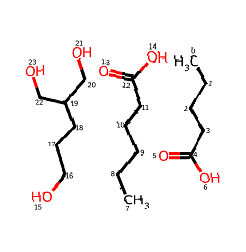 CCCCC(=O)O.CCCCCC(=O)O.OCCCC(CO)CO